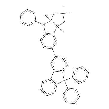 CC1(C)CC2(C)c3cc(-c4ccc5c(c4)-c4ccccc4C5(c4ccccc4)c4ccccc4)ccc3N(c3ccccc3)C2(C)C1